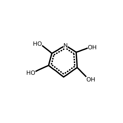 Oc1cc(O)c(O)nc1O